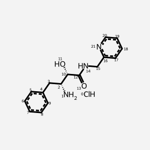 Cl.N[C@H](Cc1ccccc1)[C@H](O)C(=O)NCc1ccccn1